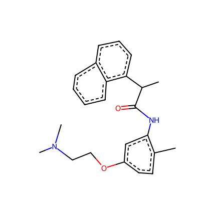 Cc1ccc(OCCN(C)C)cc1NC(=O)C(C)c1cccc2ccccc12